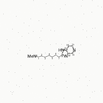 CNCCCCCCCc1nc2cnccc2[nH]1